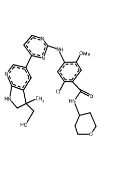 COc1cc(C(=O)NC2CCOCC2)c(Cl)cc1Nc1nccc(-c2cnc3c(c2)C(C)(CO)CN3)n1